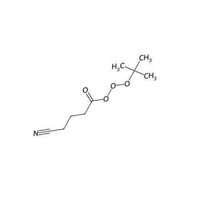 CC(C)(C)OOOC(=O)CCCC#N